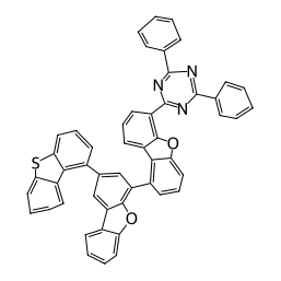 c1ccc(-c2nc(-c3ccccc3)nc(-c3cccc4c3oc3cccc(-c5cc(-c6cccc7sc8ccccc8c67)cc6c5oc5ccccc56)c34)n2)cc1